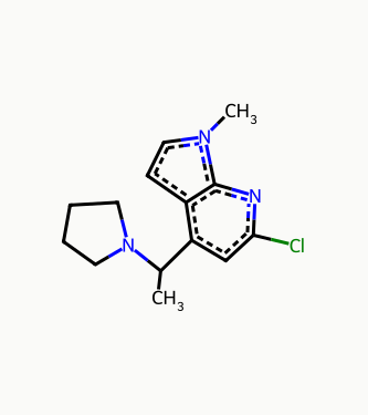 CC(c1cc(Cl)nc2c1ccn2C)N1CCCC1